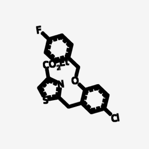 CCOC(=O)c1csc(Cc2cc(Cl)ccc2OCc2ccc(F)cc2)n1